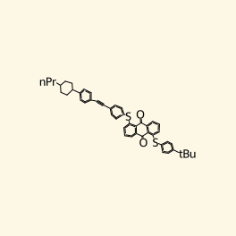 CCCC1CCC(c2ccc(C#Cc3ccc(Sc4cccc5c4C(=O)c4cccc(Sc6ccc(C(C)(C)C)cc6)c4C5=O)cc3)cc2)CC1